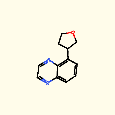 c1cc(C2CCOC2)c2nccnc2c1